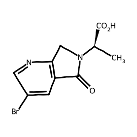 C[C@H](C(=O)O)N1Cc2ncc(Br)cc2C1=O